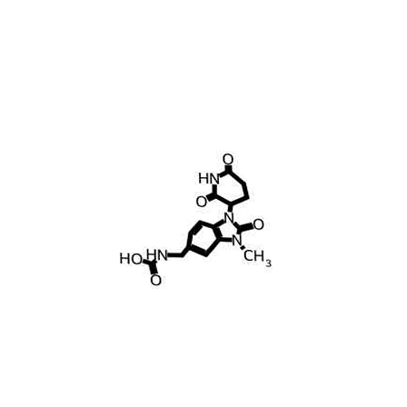 Cn1c(=O)n(C2CCC(=O)NC2=O)c2ccc(CNC(=O)O)cc21